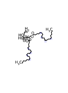 CCCCC/C=C\C/C=C\C/C=C\C/C=C\CCCC(=O)OCC(COP(=O)(O)O)OC(=O)CCC/C=C\C/C=C\C/C=C\C/C=C\CCCCC.NCCO